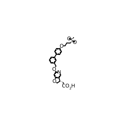 CS(=O)(=O)CCCOc1ccc(-c2cccc(COc3cc4c(cn3)[C@H](CC(=O)O)CO4)c2)cc1